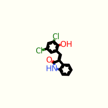 O=C1Nc2ccccc2C1=Cc1cc(Cl)cc(Cl)c1O